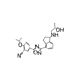 CC(C)Oc1ccc(-c2nc(-c3cccc4c3CCC4NC[C@@H](C)O)no2)cc1C#N